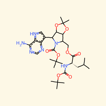 CC(C)C[C@H](NC(=O)OC(C)(C)C)C(=O)OCC1C2OC(C)(C)OC2C(c2c[nH]c3c(N)ncnc23)N1C(=O)OC(C)(C)C